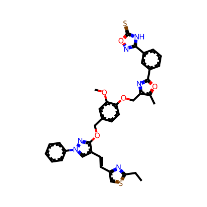 CCc1nc(C=Cc2cn(-c3ccccc3)nc2OCc2ccc(OCc3nc(-c4cccc(-c5noc(=S)[nH]5)c4)oc3C)c(OC)c2)cs1